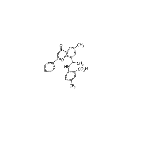 Cc1cc(C(C)Nc2ccc(C(F)(F)F)cc2C(=O)O)c2oc(-c3ccccc3)cc(=O)c2c1